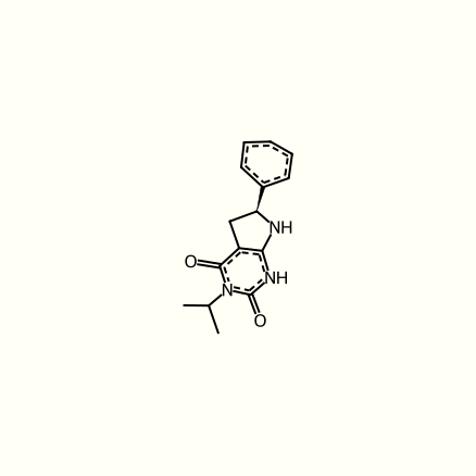 CC(C)n1c(=O)[nH]c2c(c1=O)C[C@@H](c1ccccc1)N2